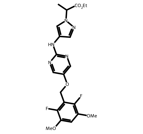 CCOC(=O)C(C)n1cc(Nc2ncc(OCc3c(F)c(OC)cc(OC)c3F)cn2)cn1